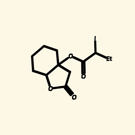 CCC(I)C(=O)OC12CCCCC1OC(=O)C2